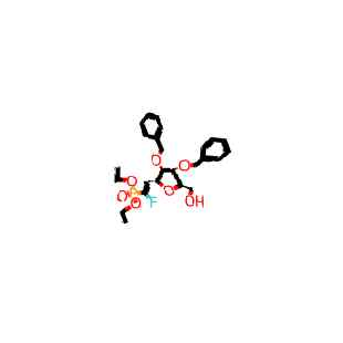 CCOP(=O)(OCC)/C(F)=C/[C@H]1O[C@H](CO)[C@@H](OCc2ccccc2)[C@@H]1OCc1ccccc1